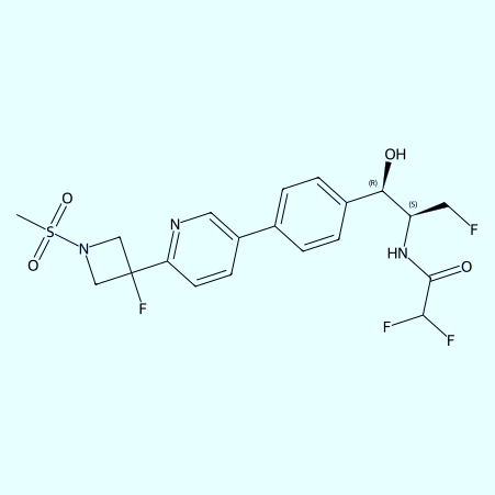 CS(=O)(=O)N1CC(F)(c2ccc(-c3ccc([C@@H](O)[C@@H](CF)NC(=O)C(F)F)cc3)cn2)C1